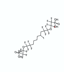 O=P(O)(O)C(F)(F)C(F)(F)OC(F)(F)C(F)(F)CCCCC(I)CC(F)(F)C(F)(F)OC(F)(F)C(F)(F)P(=O)(O)O